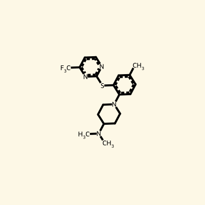 Cc1ccc(N2CCC(N(C)C)CC2)c(Sc2nccc(C(F)(F)F)n2)c1